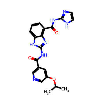 CC(C)Oc1cncc(C(=O)Nc2nc3c(C(=O)Nc4ncc[nH]4)cccc3[nH]2)c1